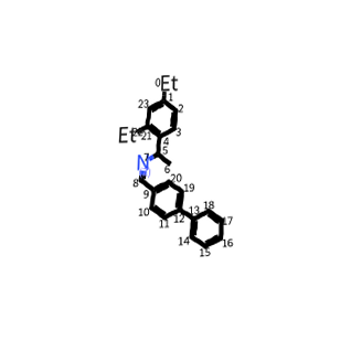 CCc1ccc(C(C)/N=C\c2ccc(-c3ccccc3)cc2)c(CC)c1